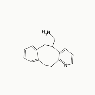 NCC1Cc2ccccc2CCc2ncccc21